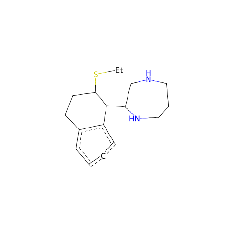 CCSC1CCc2ccccc2C1C1CNCCCN1